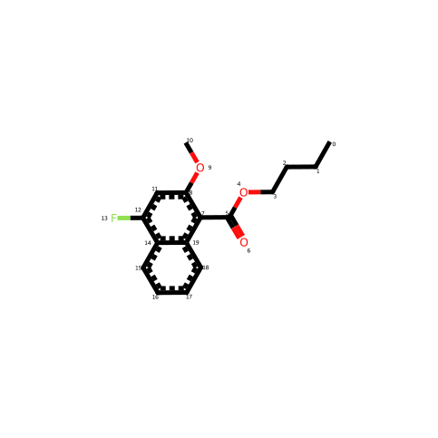 CCCCOC(=O)c1c(OC)cc(F)c2ccccc12